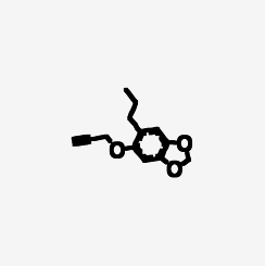 C#CCOc1cc2c(cc1CCC)OCO2